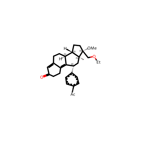 CCOC[C@]1(OC)CC[C@H]2[C@@H]3CCC4=CC(=O)CCC4=C3[C@@H](c3ccc(C(C)=O)cc3)C[C@@]21C